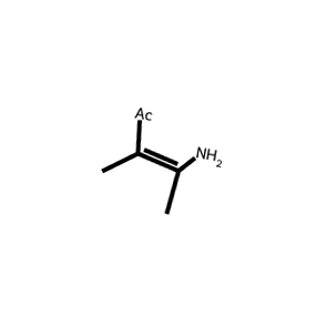 CC(=O)C(C)=C(C)N